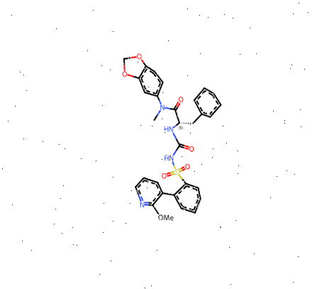 COc1ncccc1-c1ccccc1S(=O)(=O)NC(=O)N[C@@H](Cc1ccccc1)C(=O)N(C)c1ccc2c(c1)OCO2